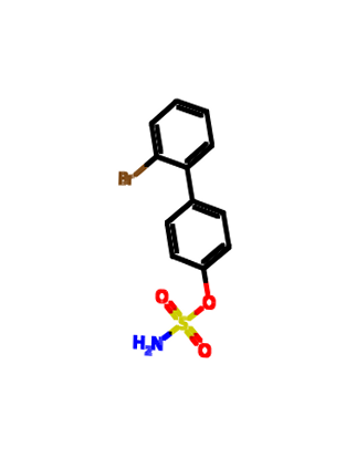 NS(=O)(=O)Oc1ccc(-c2ccccc2Br)cc1